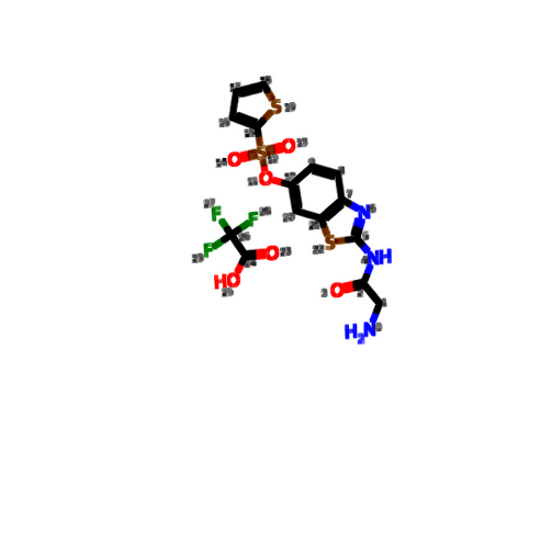 NCC(=O)Nc1nc2ccc(OS(=O)(=O)c3cccs3)cc2s1.O=C(O)C(F)(F)F